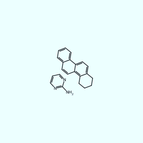 Nc1ncccn1.c1ccc2c(c1)ccc1c3c(ccc12)CCCC3